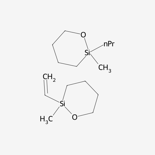 C=C[Si]1(C)CCCCO1.CCC[Si]1(C)CCCCO1